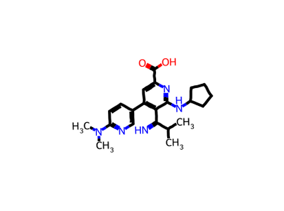 CC(C)C(=N)c1c(-c2ccc(N(C)C)nc2)cc(C(=O)O)nc1NC1CCCC1